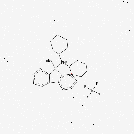 CCCCC1([PH+](C2CCCCC2)C2CCCCC2)c2ccccc2-c2ccccc21.F[B-](F)(F)F